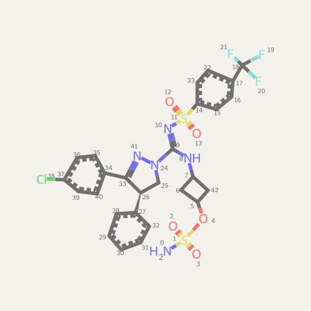 NS(=O)(=O)OC1CC(N/C(=N\S(=O)(=O)c2ccc(C(F)(F)F)cc2)N2C[C@@H](c3ccccc3)C(c3ccc(Cl)cc3)=N2)C1